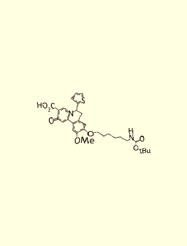 COc1cc2c(cc1OCCCCCCNC(=O)OC(C)(C)C)CC(c1cccs1)n1cc(C(=O)O)c(=O)cc1-2